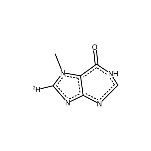 [2H]c1nc2nc[nH]c(=O)c2n1C